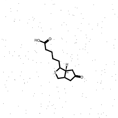 O=C(O)CCCCC1SCC2CC(=O)C[C@H]21